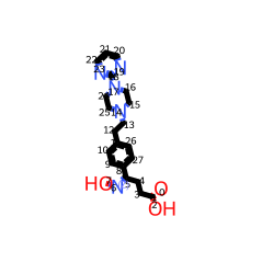 O=C(O)CC/C(=N/O)c1ccc(CCN2CCN(c3ncccn3)CC2)cc1